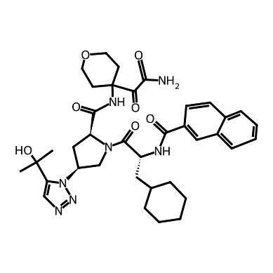 CC(C)(O)c1cnnn1[C@H]1C[C@@H](C(=O)NC2(C(=O)C(N)=O)CCOCC2)N(C(=O)[C@@H](CC2CCCCC2)NC(=O)c2ccc3ccccc3c2)C1